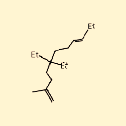 C=C(C)CCC(CC)(CC)CCC=CCC